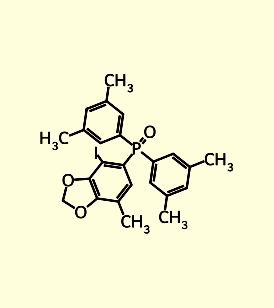 Cc1cc(C)cc(P(=O)(c2cc(C)cc(C)c2)c2cc(C)c3c(c2I)OCO3)c1